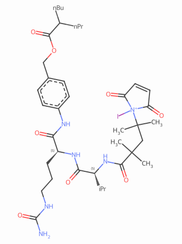 CCCCC(CCC)C(=O)OCc1ccc(NC(=O)[C@H](CCCNC(N)=O)NC(=O)[C@@H](NC(=O)C(C)(C)CC(C)(C)[N+]2(I)C(=O)C=CC2=O)C(C)C)cc1